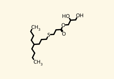 CCCCC(CCCC)CCCSCCC(=O)OCC(O)CO